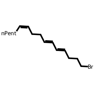 CCCCC/C=C\CCC=CC=CCCCBr